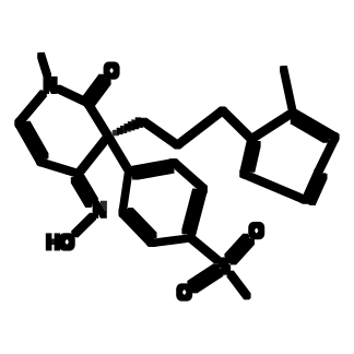 Cc1ccccc1CCC[C@@]1(c2ccc(S(C)(=O)=O)cc2)C(=O)N(C)C=C/C1=N\O